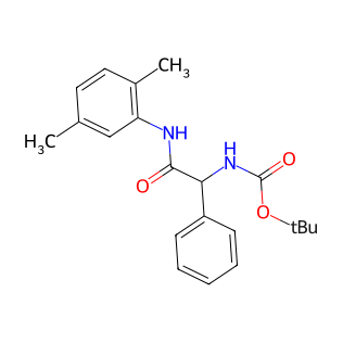 Cc1ccc(C)c(NC(=O)C(NC(=O)OC(C)(C)C)c2ccccc2)c1